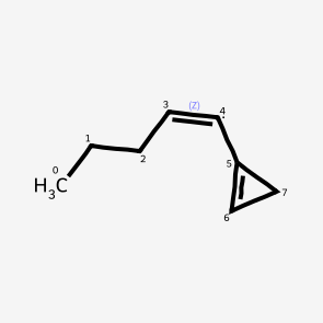 CCC/C=[C]\C1=CC1